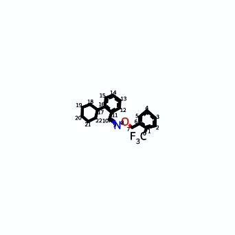 FC(F)(F)c1ccccc1CO/N=[C]\c1ccccc1C1CCCCC1